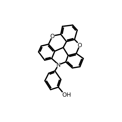 Oc1cccc(N2c3cccc4c3C3c5c(cccc5Oc5cccc2c53)O4)c1